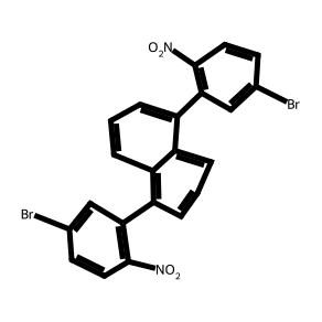 O=[N+]([O-])c1ccc(Br)cc1-c1cccc2c(-c3cc(Br)ccc3[N+](=O)[O-])cccc12